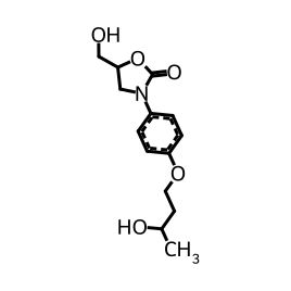 CC(O)CCOc1ccc(N2CC(CO)OC2=O)cc1